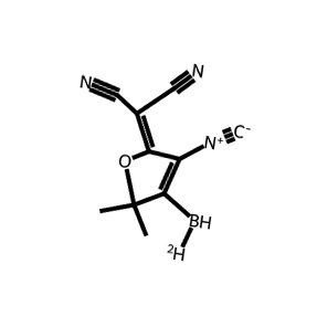 [2H]BC1=C([N+]#[C-])C(=C(C#N)C#N)OC1(C)C